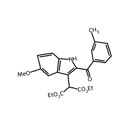 CCOC(=O)C(C(=O)OCC)c1c(C(=O)c2cccc(C)c2)[nH]c2ccc(OC)cc12